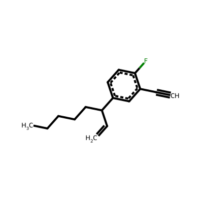 C#Cc1cc(C(C=C)CCCCC)ccc1F